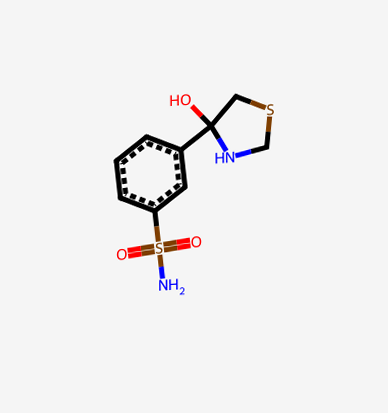 NS(=O)(=O)c1cccc(C2(O)CSCN2)c1